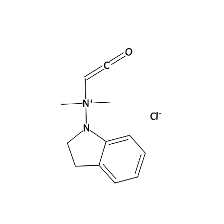 C[N+](C)(C=C=O)N1CCc2ccccc21.[Cl-]